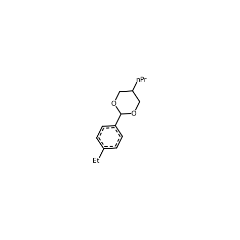 CCCC1COC(c2ccc(CC)cc2)OC1